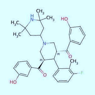 Cc1c(F)cccc1C1[C@@H](C(=O)c2cccc(O)c2)CN(C2CC(C)(C)NC(C)(C)C2)C[C@@H]1C(=O)c1cccc(O)c1